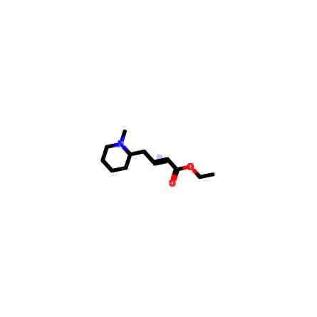 CCOC(=O)/C=C/CC1CCCCN1C